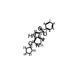 O=S(=O)(c1ccccc1)c1c[nH]c2c(OC3CCCC3)ncnc12